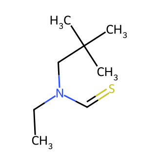 CCN(C=S)CC(C)(C)C